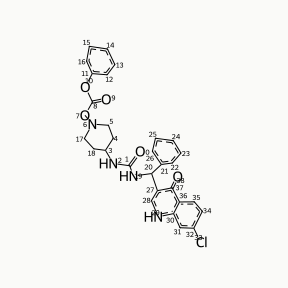 O=C(NC1CCN(OC(=O)Oc2ccccc2)CC1)NC(c1ccccc1)c1c[nH]c2cc(Cl)ccc2c1=O